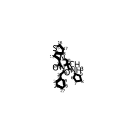 CC1(C(=O)NC2CCCC2)Cn2c(cc3sccc32)C(=O)N1CCc1ccccc1